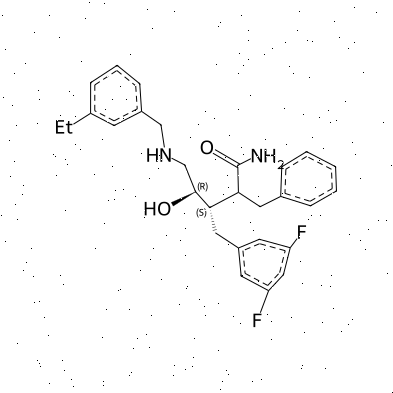 CCc1cccc(CNC[C@H](O)[C@@H](Cc2cc(F)cc(F)c2)C(Cc2ccccc2)C(N)=O)c1